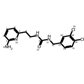 Nc1cccc(CCNC(=O)NCc2ccc(Cl)c(Cl)c2)n1